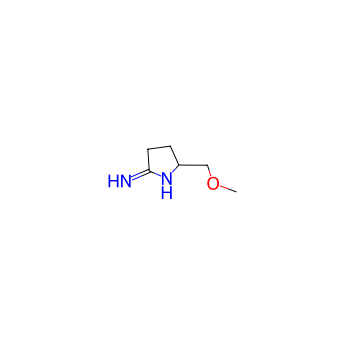 COCC1CCC(=N)N1